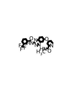 CNC(=O)c1cc(Oc2ccc3nc(NC(=O)c4cccc(C(F)(F)F)c4)nnc3c2)ccn1